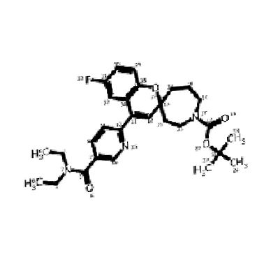 CCN(CC)C(=O)c1ccc(C2=CC3(CCCN(C(=O)OC(C)(C)C)CC3)Oc3ccc(F)cc32)nc1